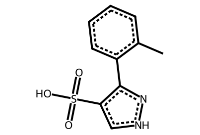 Cc1ccccc1-c1n[nH]cc1S(=O)(=O)O